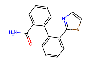 NC(=O)c1ccccc1-c1ccccc1-c1nccs1